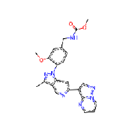 COC(=O)NCc1ccc(-n2nc(C)c3cnc(-c4cnn5cccnc45)cc32)c(OC)c1